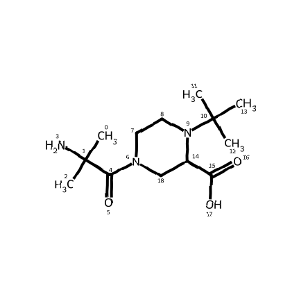 CC(C)(N)C(=O)N1CCN(C(C)(C)C)C(C(=O)O)C1